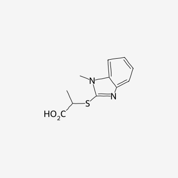 CC(Sc1nc2ccccc2n1C)C(=O)O